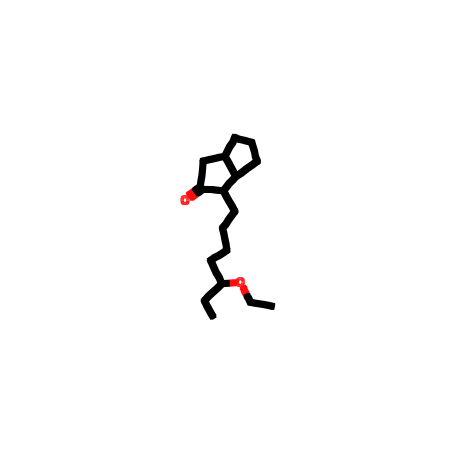 CCOC(CC)CCCCC1C(=O)CC2CCCC21